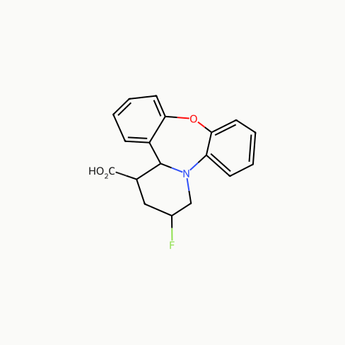 O=C(O)C1CC(F)CN2c3ccccc3Oc3ccccc3C12